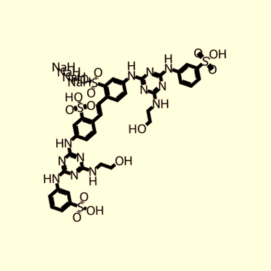 O=S(=O)(O)c1cccc(Nc2nc(NCCO)nc(Nc3ccc(/C=C/c4ccc(Nc5nc(NCCO)nc(Nc6cccc(S(=O)(=O)O)c6)n5)cc4S(=O)(=O)O)c(S(=O)(=O)O)c3)n2)c1.[NaH].[NaH].[NaH].[NaH]